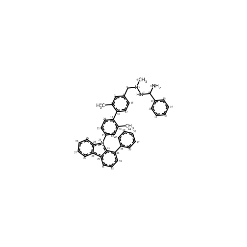 Cc1cc(CN(C)NC(N)c2ccccc2)ccc1-c1ccc(-n2c3ccccc3c3cccc(-c4ccccc4)c32)cc1C